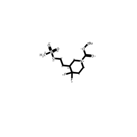 CC(C)(C)OC(=O)N1CCC(F)(F)C(CCOS(C)(=O)=O)C1